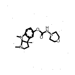 CN1CC[C@@]2(C)c3cc(OC(=O)NN4CCOCC4)ccc3N(C)C12